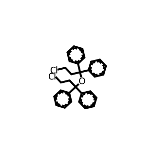 ClCCC(OC(CCCl)(c1ccccc1)c1ccccc1)(c1ccccc1)c1ccccc1